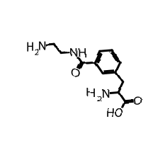 NCCNC(=O)c1cccc(CC(N)C(=O)O)c1